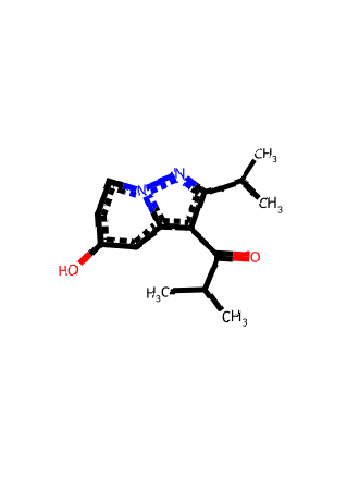 CC(C)C(=O)c1c(C(C)C)nn2ccc(O)cc12